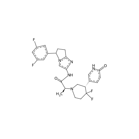 C[C@@H](C(=O)Nc1cn2c(n1)CCC2c1cc(F)cc(F)c1)N1CCC(F)(F)[C@@H](c2ccc(=O)[nH]c2)C1